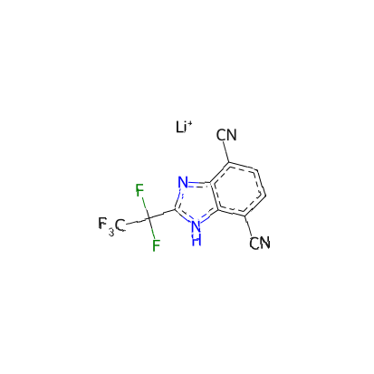 N#Cc1ccc(C#N)c2[nH]c(C(F)(F)C(F)(F)F)nc12.[Li+]